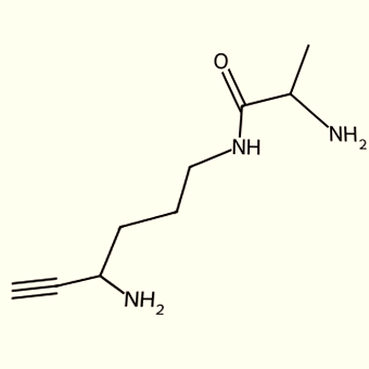 C#CC(N)CCCNC(=O)C(C)N